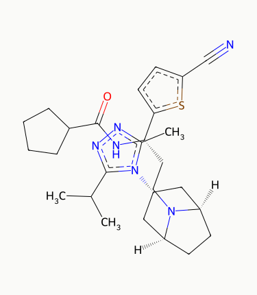 Cc1nnc(C(C)C)n1[C@@H]1C[C@H]2CC[C@@H](C1)N2CC[C@H](NC(=O)C1CCCC1)c1ccc(C#N)s1